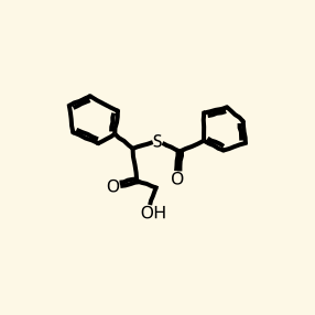 O=C(SC(C(=O)CO)c1ccccc1)c1ccccc1